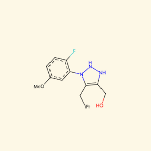 COc1ccc(F)c(N2NNC(CO)=C2CC(C)C)c1